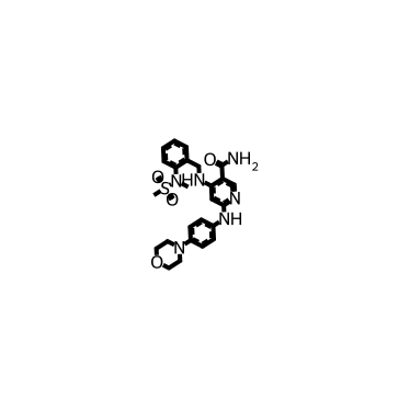 CN(c1ccccc1CNc1cc(Nc2ccc(N3CCOCC3)cc2)ncc1C(N)=O)S(C)(=O)=O